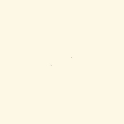 C1CCNCC1.NCCO